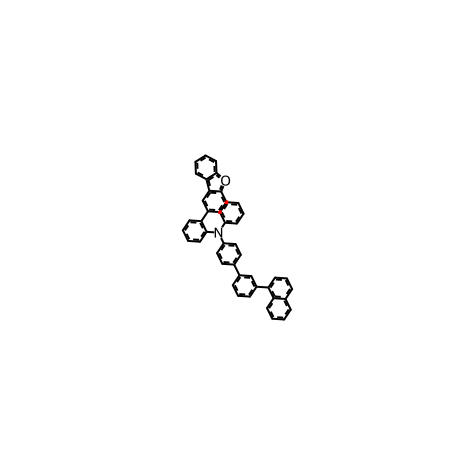 c1ccc(N(c2ccc(-c3cccc(-c4cccc5ccccc45)c3)cc2)c2ccccc2-c2ccc3oc4ccccc4c3c2)cc1